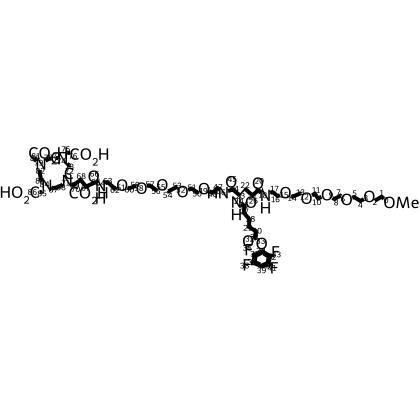 COCCOCCOCCOCCOCCOCCNC(=O)CC[C@@H](NC(=O)CCCCC(=O)Oc1c(F)c(F)cc(F)c1F)C(=O)NCCOCCOCCOCCOCCOCCNC(=O)CCC(C(=O)O)N1CCN(CC(=O)O)CCN(CC(=O)O)CCN(CC(=O)O)CC1